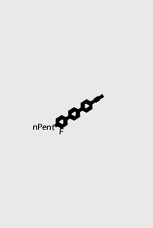 CC#Cc1ccc(-c2ccc(-c3ccc(CCCCC)c(F)c3)cc2)cc1